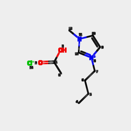 CC(=O)O.CCCC[n+]1ccn(C)c1.[Cl-]